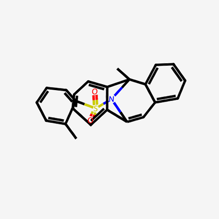 Cc1ccccc1S(=O)(=O)N1C2=Cc3ccccc3C1(C)c1ccccc12